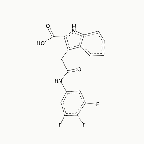 O=C(Cc1c(C(=O)O)[nH]c2ccccc12)Nc1cc(F)c(F)c(F)c1